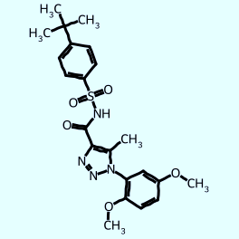 COc1ccc(OC)c(-n2nnc(C(=O)NS(=O)(=O)c3ccc(C(C)(C)C)cc3)c2C)c1